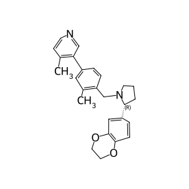 Cc1cc(-c2cnccc2C)ccc1CN1CCC[C@@H]1c1ccc2c(c1)OCCO2